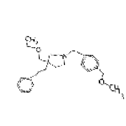 CCOCC1(CCc2ccccc2)CCN(Cc2ccc(COC)cc2)CC1